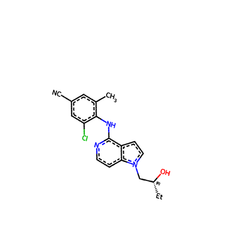 CC[C@@H](O)Cn1ccc2c(Nc3c(C)cc(C#N)cc3Cl)nccc21